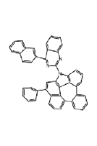 c1ccc(-c2cc3c4c5c(cccc25)-c2ccccc2-c2cccc(c24)n3-c2nc(-c3ccc4ccccc4c3)c3ccccc3n2)cc1